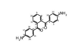 Nc1ccc(C(=O)c2ccccc2C(=O)c2ccc(N)cc2)cc1